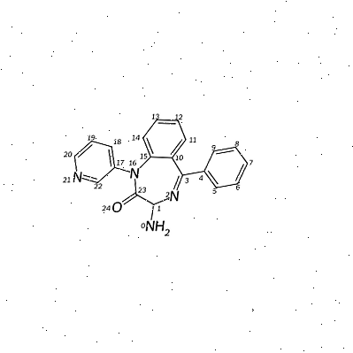 NC1N=C(c2ccccc2)c2ccccc2N(c2cccnc2)C1=O